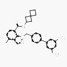 COc1cc(C#N)cc(-c2ccc([C@@H](C)n3ncc4c(Cl)ccc(C(=O)NC5CC6(CCC6)C5)c43)cc2)c1